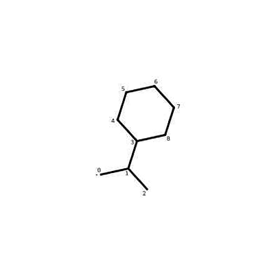 [CH2]C(C)C1CCCCC1